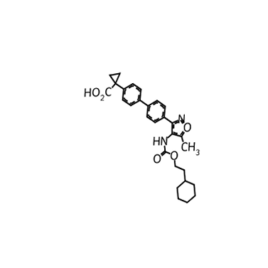 Cc1onc(-c2ccc(-c3ccc(C4(C(=O)O)CC4)cc3)cc2)c1NC(=O)OCCC1CCCCC1